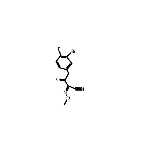 CO/N=C(\C#N)C(=O)Cc1ccc(F)c(Br)c1